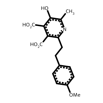 COc1ccc(CCc2nc(C)c(O)c(C(=O)O)c2C(=O)O)cc1